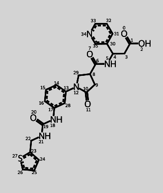 O=C(O)CC(NC(=O)C1CC(=O)N(c2cccc(NC(=O)NCc3cccs3)c2)C1)c1cccnc1